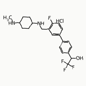 CNC1CCC(NCc2cc(-c3ccc(C(O)C(F)(F)F)cc3)ccc2F)CC1.Cl